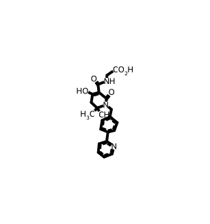 CC1(C)CC(O)=C(C(=O)NCC(=O)O)C(=O)N1Cc1ccc(-c2ccccn2)cc1